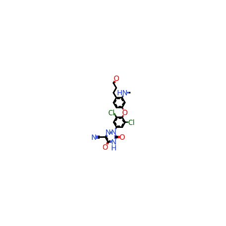 CNc1cc(Oc2c(Cl)cc(-n3nc(C#N)c(=O)[nH]c3=O)cc2Cl)ccc1CCC=O